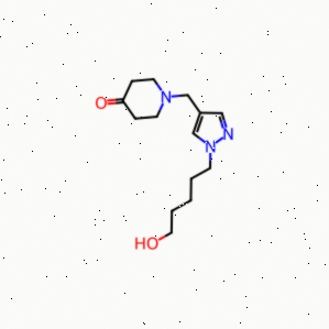 O=C1CCN(Cc2cnn(CCCCCO)c2)CC1